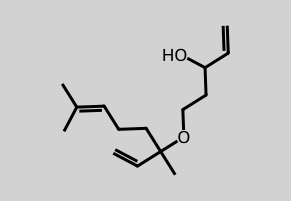 C=CC(O)CCOC(C)(C=C)CCC=C(C)C